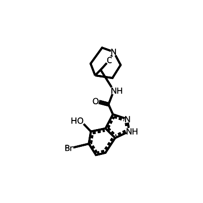 O=C(NC1CN2CCC1CC2)c1n[nH]c2ccc(Br)c(O)c12